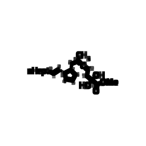 CCCCCCCC=C[C@H]1C=CC[C@@H]1CC(C)=C=CCC(O)(O)C(=O)OC